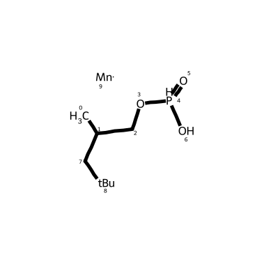 CC(CO[PH](=O)O)CC(C)(C)C.[Mn]